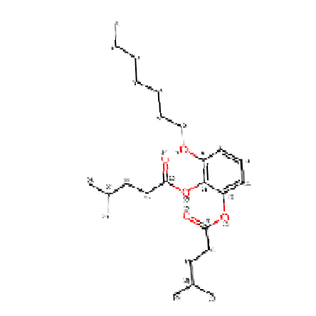 CCCCCCCOc1cccc(OC(=O)CCC(C)C)c1OC(=O)CCC(C)C